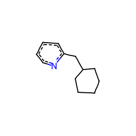 c1ccc(CC2CCCCC2)nc1